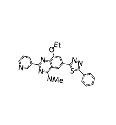 CCOc1cc(-c2nnc(-c3ccccc3)s2)cc2c(NC)nc(-c3cccnc3)nc12